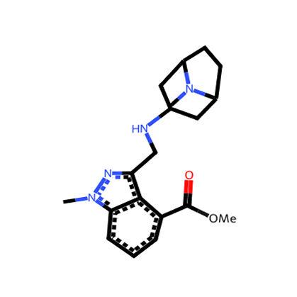 COC(=O)c1cccc2c1c(CNC1CC3CCC(C1)N3C)nn2C